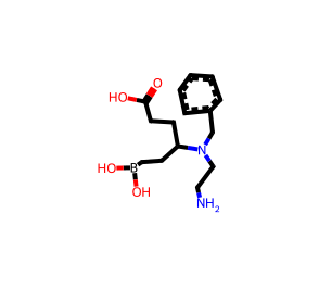 NCCN(Cc1ccccc1)C(CCB(O)O)CCC(=O)O